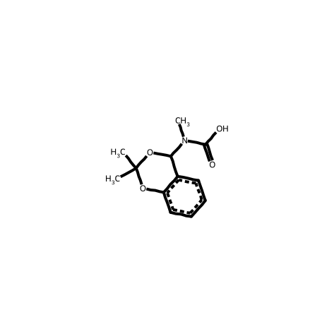 CN(C(=O)O)C1OC(C)(C)Oc2ccccc21